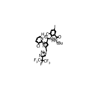 Cc1cc(I)cc(C(=O)NC(C)(C)C)c1NC(=O)c1cc(Cn2cc(C(F)(C(F)(F)F)C(F)(F)F)nn2)nn1-c1ncccc1Cl